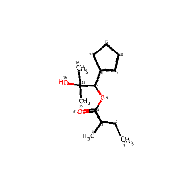 CCC(C)C(=O)OC(C1CCCC1)C(C)(C)O